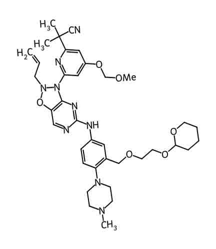 C=CCN1Oc2cnc(Nc3ccc(N4CCN(C)CC4)c(COCCOC4CCCCO4)c3)nc2N1c1cc(OCOC)cc(C(C)(C)C#N)n1